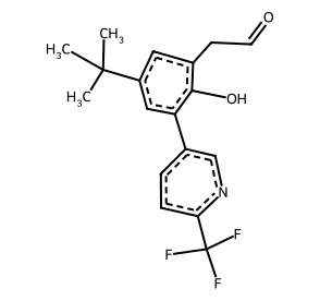 CC(C)(C)c1cc(CC=O)c(O)c(-c2ccc(C(F)(F)F)nc2)c1